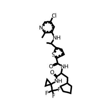 Cc1ncc(Cl)cc1NC(C)c1ccc(C(=O)NC(CC2CCCC2)C(=O)NC2(C(F)(F)F)CC2)s1